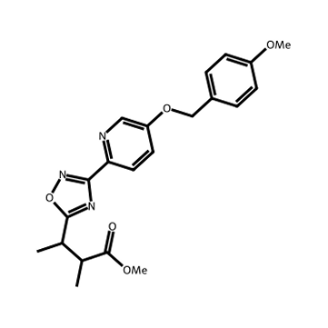 COC(=O)C(C)C(C)c1nc(-c2ccc(OCc3ccc(OC)cc3)cn2)no1